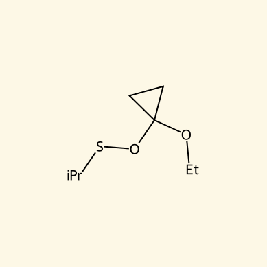 CCOC1(OSC(C)C)CC1